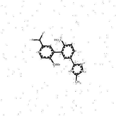 COc1cnc(C(F)F)cc1-c1cc(-c2nnc(C)o2)ccc1C(=O)O